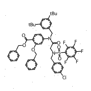 CC(C)(C)c1cc(CN(C(=O)CN(Cc2ccc(Cl)cc2)S(=O)(=O)c2c(F)c(F)c(F)c(F)c2F)c2ccc(C(=O)OCc3ccccc3)c(OCc3ccccc3)c2)cc(C(C)(C)C)c1